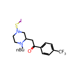 CCCCN1CCN(SI)CC1CC(=O)c1ccc(C(F)(F)F)cc1